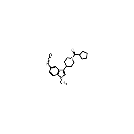 Cn1cc(C2CCN(C(=O)C3CCCC3)CC2)c2cc(N=C=O)ccc21